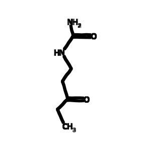 CCC(=O)CCNC(N)=O